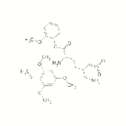 C=Cc1c(OC)cc(OC)cc1OC.COc1ccccc1OC(=O)C(N)CCC(C=S(=O)=O)CN